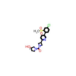 CS(=O)(=O)c1cc(Cl)ccc1-c1ccc(C2CN(C(=O)N3CC[C@@H](O)C3)C2)nc1